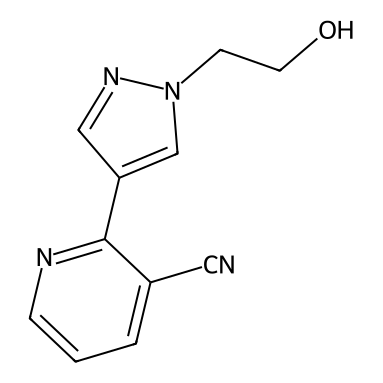 N#Cc1cccnc1-c1cnn(CCO)c1